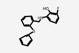 Oc1c(F)cccc1NCc1ccccc1Sc1ccccc1